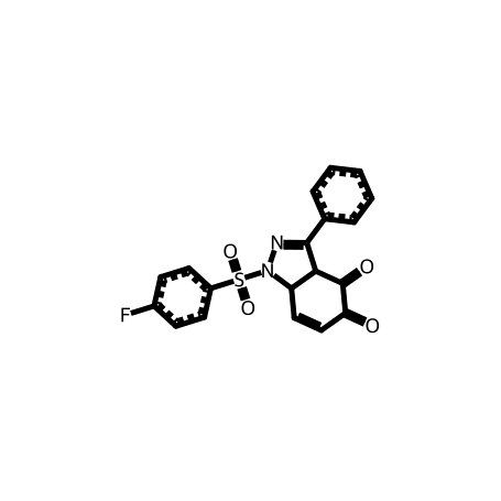 O=C1C=CC2C(C1=O)C(c1ccccc1)=NN2S(=O)(=O)c1ccc(F)cc1